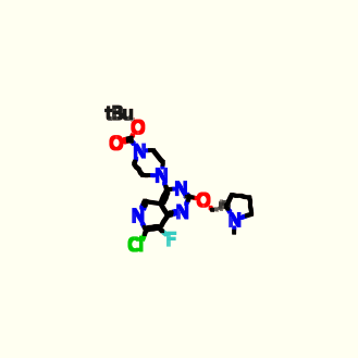 CN1CCC[C@H]1COc1nc(N2CCN(C(=O)OC(C)(C)C)CC2)c2cnc(Cl)c(F)c2n1